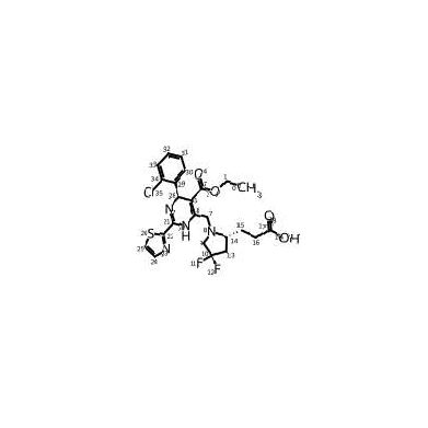 CCOC(=O)C1=C(CN2CC(F)(F)C[C@H]2CCC(=O)O)NC(c2nccs2)=N[C@H]1c1ccccc1Cl